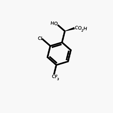 O=C(O)[C@H](O)c1ccc(C(F)(F)F)cc1Cl